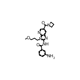 COCCCn1c(NC(=O)c2cccc(N)c2)nc2cc(C(=O)N3CCC3)cnc21